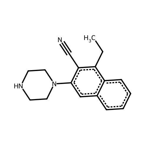 CCc1c(C#N)c(N2CCNCC2)cc2ccccc12